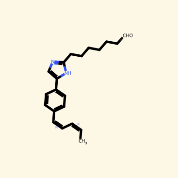 C/C=C\C=C/c1ccc(-c2cnc(CCCCCCC=O)[nH]2)cc1